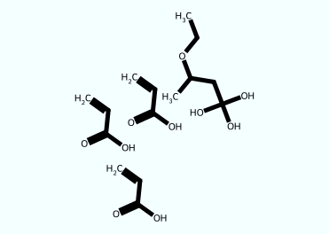 C=CC(=O)O.C=CC(=O)O.C=CC(=O)O.CCOC(C)CC(O)(O)O